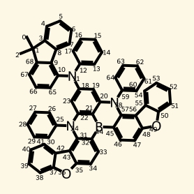 CC1(C)c2ccccc2-c2c(N(c3ccccc3)c3cc4c5c(c3)N(c3ccccc3)c3c(ccc6oc7ccccc7c36)B5c3ccc5oc6ccccc6c5c3N4c3ccccc3)cccc21